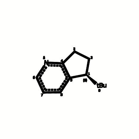 CC(C)(C)[C@@H]1CCc2ncccc21